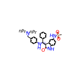 CCCN(CCC)Cc1ccc(N/C(=C2\C(=O)Nc3ccc(NS(C)(=O)=O)cc32)c2ccccc2)cc1